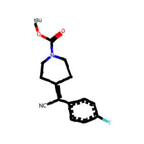 CC(C)(C)OC(=O)N1CCC(=C(C#N)c2ccc(F)cc2)CC1